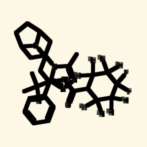 [2H]C(C)(C)c1nnc(C)n1C1CC2CCC(C1)N2CCC(NC(=O)C1C([2H])([2H])C([2H])([2H])C(F)(F)C([2H])([2H])C1([2H])[2H])c1ccccc1